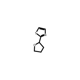 c1csc([C]2CCCO2)n1